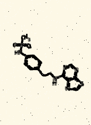 CS(=O)(=O)Nc1ccc(CCNc2ncnc3scnc23)cc1